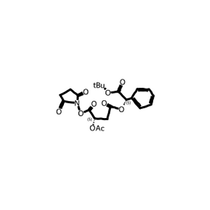 CC(=O)O[C@@H](CC(=O)O[C@H](C(=O)OC(C)(C)C)c1ccccc1)C(=O)ON1C(=O)CCC1=O